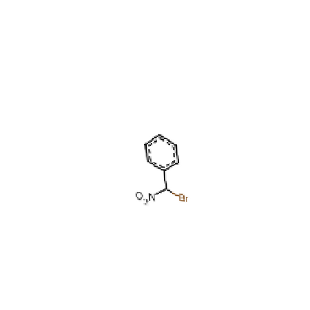 O=[N+]([O-])C(Br)c1ccccc1